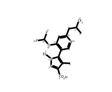 CCn1nc(C(=O)O)c(C)c1-c1cnc(CC(C)C(F)(F)F)cc1OC(F)F